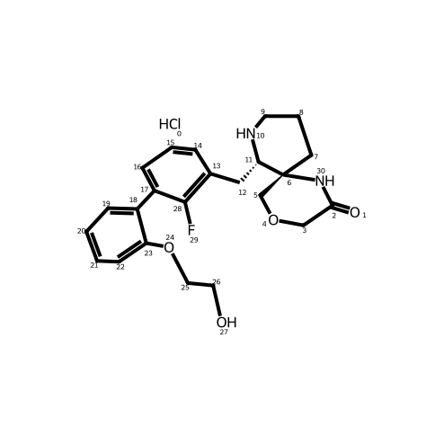 Cl.O=C1COC[C@@]2(CCCN[C@H]2Cc2cccc(-c3ccccc3OCCO)c2F)N1